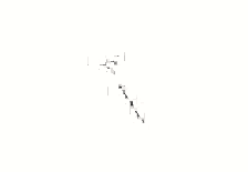 CC1OC(OCCCCC(=O)NCC(=O)NCC(=O)NCC(=O)NCCO)C(O)C(O)C1O